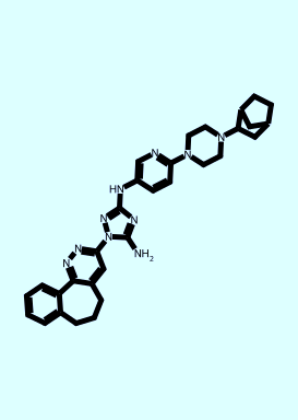 Nc1nc(Nc2ccc(N3CCN(C4CC5CCC4C5)CC3)nc2)nn1-c1cc2c(nn1)-c1ccccc1CCC2